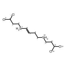 ClC(Cl)CC[SiH2]C=CCC[SiH2]CCC(Cl)Cl